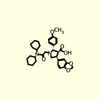 COc1ccc([C@@H]2[C@@H](C(=O)O)[C@@H](c3ccc4c(c3)OCO4)CN2CC(=O)N(C2CCCCC2)C2CCCCC2)cc1